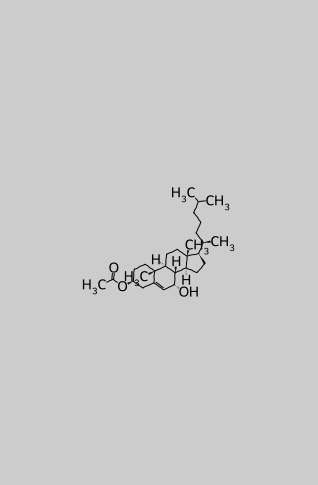 CC(=O)O[C@H]1CC[C@@]2(C)C(=C[C@@H](O)[C@H]3[C@@H]4CC[C@H]([C@H](C)CCCC(C)C)[C@@]4(C)CC[C@@H]32)C1